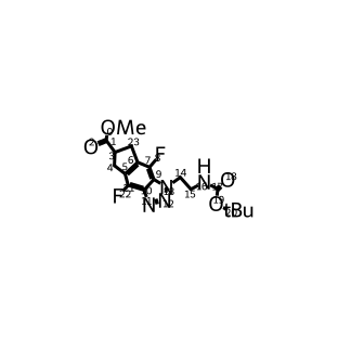 COC(=O)C1Cc2c(c(F)c3c(nnn3CCNC(=O)OC(C)(C)C)c2F)C1